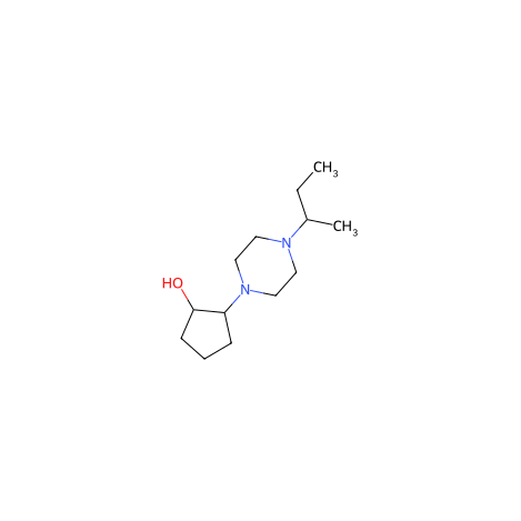 CCC(C)N1CCN(C2CCCC2O)CC1